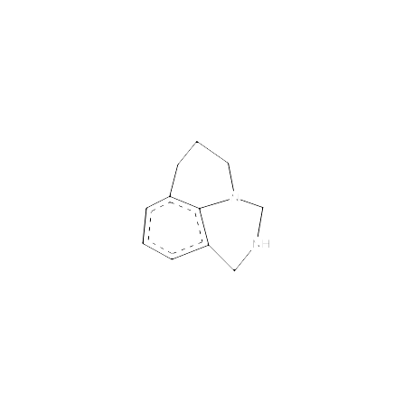 c1cc2c3c(c1)CNCN3CCC2